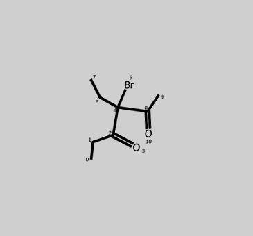 CCC(=O)C(Br)(CC)C(C)=O